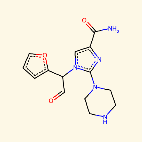 NC(=O)c1cn(C(C=O)c2ccco2)c(N2CCNCC2)n1